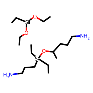 CCO[SiH](CC)OCC.CC[Si](CC)(CCCN)OC(C)CCCN